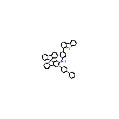 c1ccc(-c2ccc(-c3cc4c(cc3Nc3ccc(-c5cccc6c5sc5ccccc56)cc3)C3(c5ccccc5-c5ccccc53)c3ccccc3-4)cc2)cc1